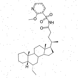 CC[C@H]1CC2C3CC[C@H]([C@H](C)CCC(=O)NS(=O)(=O)c4cccnc4OC)[C@@]3(C)CCC2[C@@]2(C)CCCC[C@@H]12